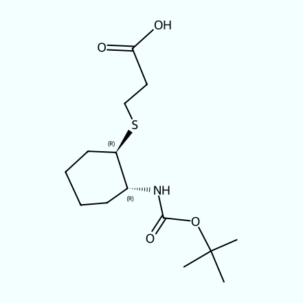 CC(C)(C)OC(=O)N[C@@H]1CCCC[C@H]1SCCC(=O)O